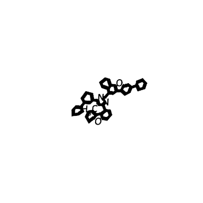 Cc1c(-c2cccc(-c3ccccc3)c2)nc(-c2cc3c4ccc(-c5ccccc5)cc4oc3c3ccccc23)nc1-c1cccc2oc3ccccc3c12